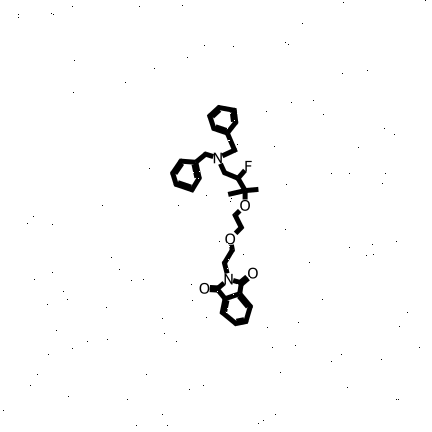 CC(C)(OCCOCCN1C(=O)c2ccccc2C1=O)C(F)CN(Cc1ccccc1)Cc1ccccc1